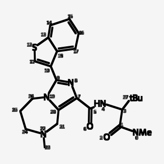 CNC(=O)C(NC(=O)c1nc(-c2csc3ccccc23)n2c1CN(C)CCC2)C(C)(C)C